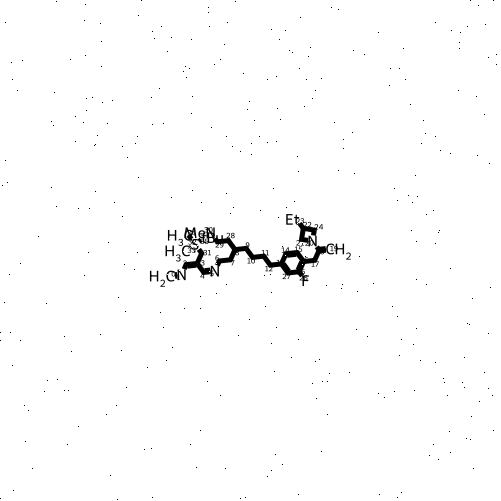 C=N/C=C(\C=N/CCC(CCCCc1ccc(CC(=C)N2CC(CC)C2)c(F)c1)CCNC)CS(C)(C)C(C)(C)C